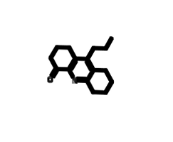 CCCc1c2c(nc3c1CCCC3=O)CCCC2